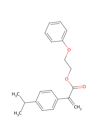 C=C(C(=O)OCCOc1ccccc1)c1ccc(C(C)C)cc1